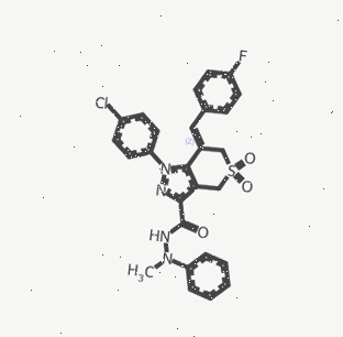 CN(NC(=O)c1nn(-c2ccc(Cl)cc2)c2c1CS(=O)(=O)C/C2=C\c1ccc(F)cc1)c1ccccc1